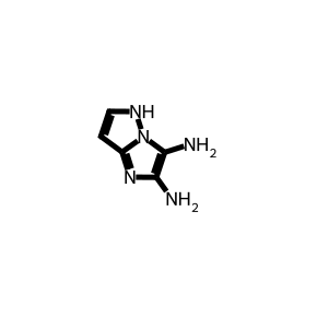 Nc1nc2cc[nH]n2c1N